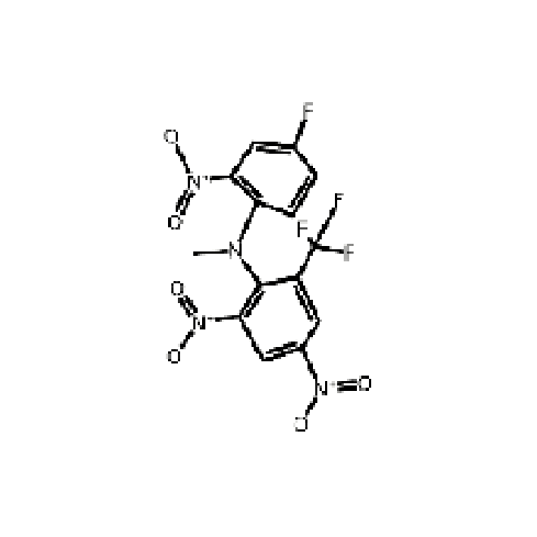 CN(c1ccc(F)cc1[N+](=O)[O-])c1c([N+](=O)[O-])cc([N+](=O)[O-])cc1C(F)(F)F